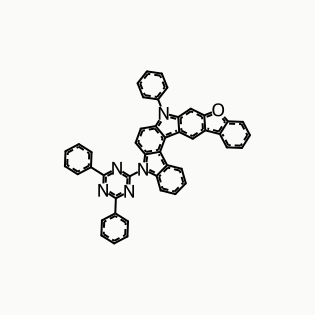 c1ccc(-c2nc(-c3ccccc3)nc(-n3c4ccccc4c4c5c6cc7c(cc6n(-c6ccccc6)c5ccc43)oc3ccccc37)n2)cc1